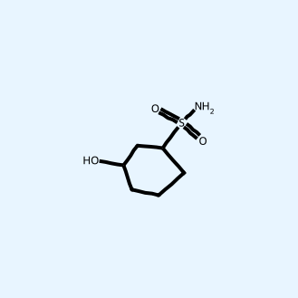 NS(=O)(=O)C1CCCC(O)C1